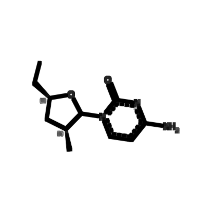 CC[C@@H]1C[C@H](C)C(n2ccc(N)nc2=O)O1